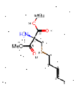 C/C=C/CCSC[C@](N)(C(=O)OC)C(=O)OC(C)(C)C